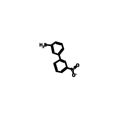 Bc1cccc(-c2cccc([N+](=O)[O-])c2)c1